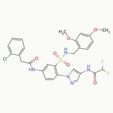 COc1ccc(CNS(=O)(=O)c2cc(NC(=O)Cc3ccccc3Cl)ccc2-n2cc(NC(=O)C(F)F)cn2)c(OC)c1